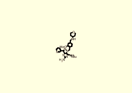 CCCCNc1nc(N)nc2c(-c3cccnc3)nn(Cc3ccc(CNC4CCOCC4)cc3OC)c12